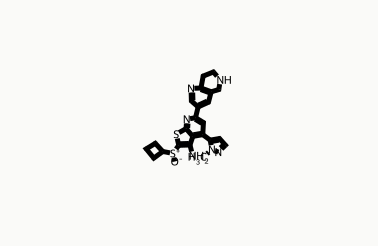 Cn1nccc1-c1cc(-c2cnc3c(c2)CNCC3)nc2sc([S+]([O-])C3CCC3)c(N)c12